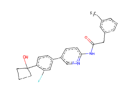 O=C(Cc1cccc(C(F)(F)F)c1)Nc1ccc(-c2ccc(C3(O)CCC3)c(F)c2)cn1